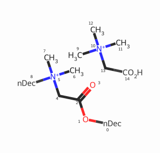 CCCCCCCCCCOC(=O)C[N+](C)(C)CCCCCCCCCC.C[N+](C)(C)CC(=O)O